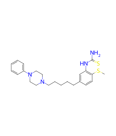 CSc1ccc(CCCCCN2CCN(c3ccccc3)CC2)cc1NC(N)=S